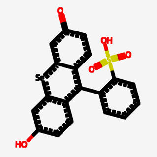 O=c1ccc2c(-c3ccccc3S(=O)(=O)O)c3ccc(O)cc3[se]c-2c1